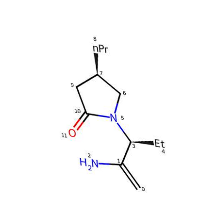 C=C(N)[C@H](CC)N1C[C@H](CCC)CC1=O